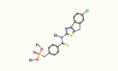 CCOP(=O)(Cc1ccc(C(=S)N(CC)c2nc3c(s2)Cc2cc(Cl)ccc2-3)cc1)OCC